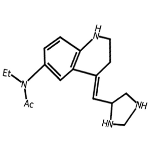 CCN(C(C)=O)c1ccc2c(c1)/C(=C/C1CNCN1)CCN2